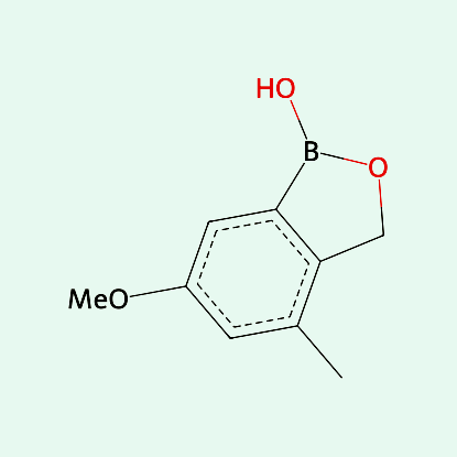 COc1cc(C)c2c(c1)B(O)OC2